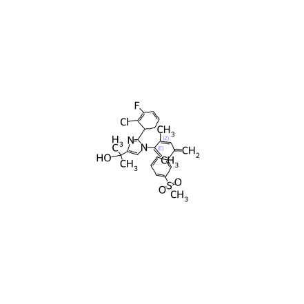 C=C(/C=C(C)\C(=C/C)n1cc(C(C)(C)O)nc1C1CC=CC(F)=C1Cl)c1cccc(S(C)(=O)=O)c1